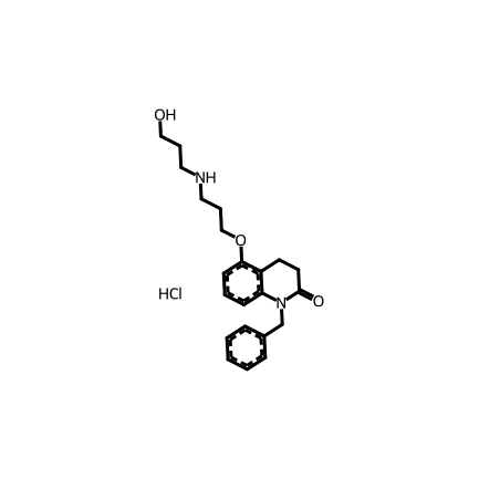 Cl.O=C1CCc2c(OCCCNCCCO)cccc2N1Cc1ccccc1